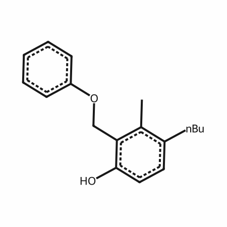 CCCCc1ccc(O)c(COc2ccccc2)c1C